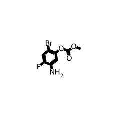 COC(=O)Oc1cc(N)c(F)cc1Br